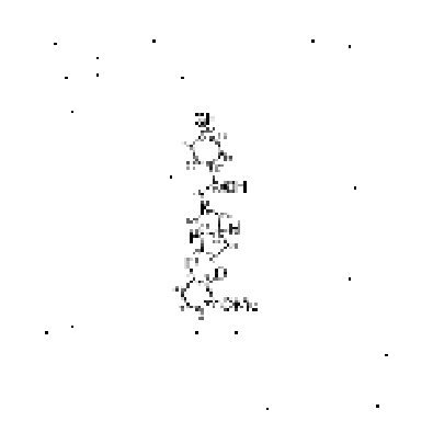 COc1cccc(F)c1O[C@@H]1C[C@@H]2CN(CC(O)c3ccc(O)cc3)C[C@@H]2C1